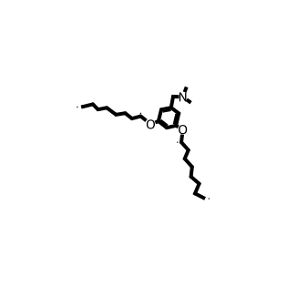 [CH2]CCCCCC[CH]Oc1cc(CN(C)C)cc(O[CH]CCCCCC[CH2])c1